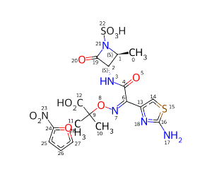 C[C@H]1[C@H](NC(=O)C(=NOC(C)(C)C(=O)O)c2csc(N)n2)C(=O)N1S(=O)(=O)O.O=[N+]([O-])c1ccco1